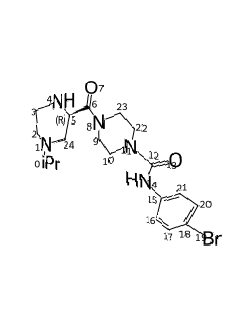 CC(C)N1CCN[C@@H](C(=O)N2CCN(C(=O)Nc3ccc(Br)cc3)CC2)C1